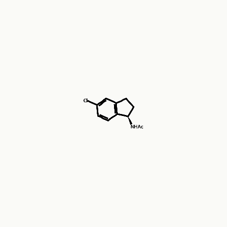 CC(=O)N[C@@H]1CCc2cc(Cl)ccc21